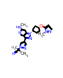 CNc1cc2c(cn1)c(-c1cnn(C(C)(C)C#N)c1)nn2[C@H]1CC[C@@H](Oc2ccnn2C)CC1